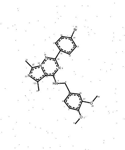 COc1ccc(CNc2nc(-c3ccc(Br)cc3)nn3c(C)nc(C)c23)cc1OC